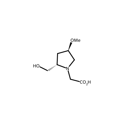 CO[C@@H]1C[C@@H](CO)N(CC(=O)O)C1